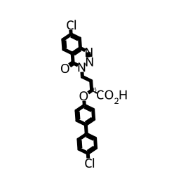 O=C(O)[C@@H](CCn1nnc2cc(Cl)ccc2c1=O)Oc1ccc(-c2ccc(Cl)cc2)cc1